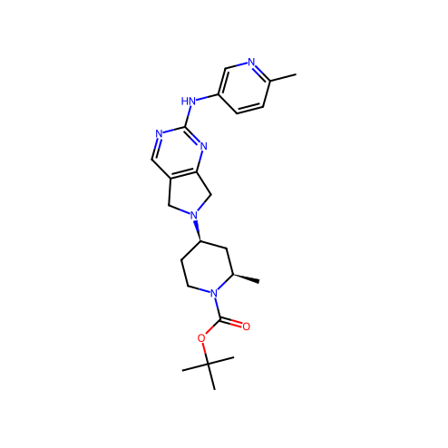 Cc1ccc(Nc2ncc3c(n2)CN([C@@H]2CCN(C(=O)OC(C)(C)C)[C@H](C)C2)C3)cn1